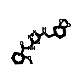 COc1ccccc1C(=O)Nc1nnc(NCc2ccc3c(c2)OCO3)s1